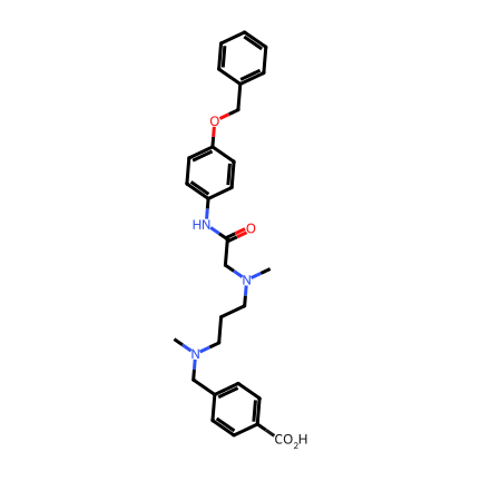 CN(CCCN(C)Cc1ccc(C(=O)O)cc1)CC(=O)Nc1ccc(OCc2ccccc2)cc1